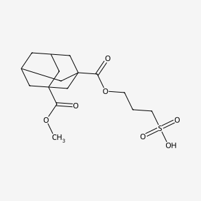 COC(=O)C12CC3CC(C1)CC(C(=O)OCCCS(=O)(=O)O)(C3)C2